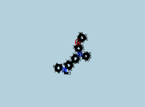 CCN(c1ccccc1)c1ccc(-c2ccc(N(c3ccccc3)c3ccc(Oc4ccccc4)cc3)cc2)cc1